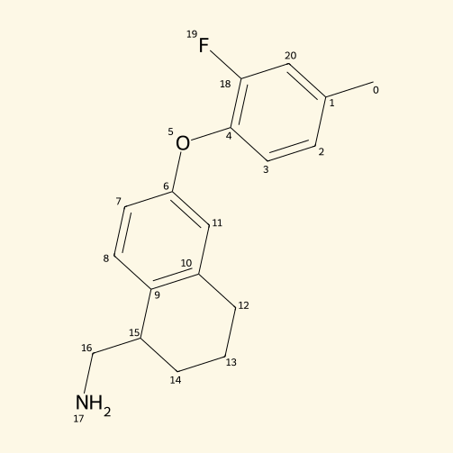 Cc1ccc(Oc2ccc3c(c2)CCCC3CN)c(F)c1